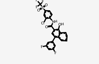 O=C(Nc1ccc(S(=O)(=O)C(F)(F)F)cc1Cl)c1cc(-c2cc(F)cc(F)c2)c2ccccc2c1O